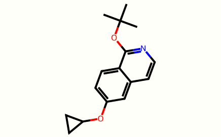 CC(C)(C)Oc1nccc2cc(OC3CC3)ccc12